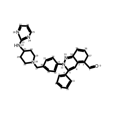 O=CC1=C2C=C(c3ccccc3)N(c3ccc(CN4CCC(Nc5ncccn5)CC4)cc3)N=C2C=CC1